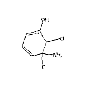 NC1(Cl)C=CC=C(O)C1Cl